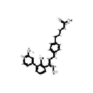 Cc1cc(-c2cccc(/C(CCc3ccc(CCCCC(=O)O)cc3)=N\O)c2C)ccn1